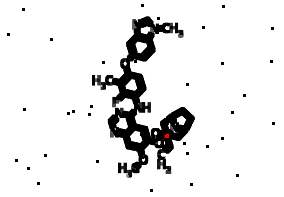 C=CC(=O)N1C2CCC1CC(Oc1cc3c(Nc4ccc(Oc5ccc6c(c5)ncn6C)c(C)c4F)ncnc3cc1OC)C2